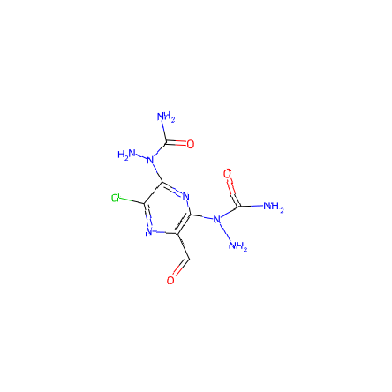 NC(=O)N(N)c1nc(N(N)C(N)=O)c(C=O)nc1Cl